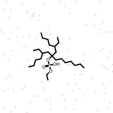 CCCCCCCC(CC(CC)CCCC)(CC(CC)CCCC)OP(=O)(O)OCC